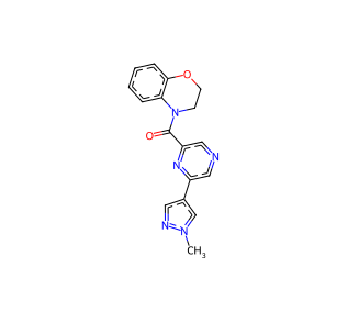 Cn1cc(-c2cncc(C(=O)N3CCOc4ccccc43)n2)cn1